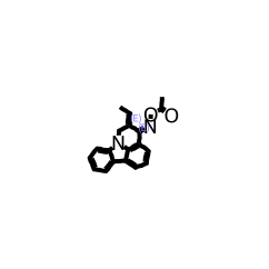 C/C=C1\Cn2c3ccccc3c3cccc(c32)\C1=N\OC(C)=O